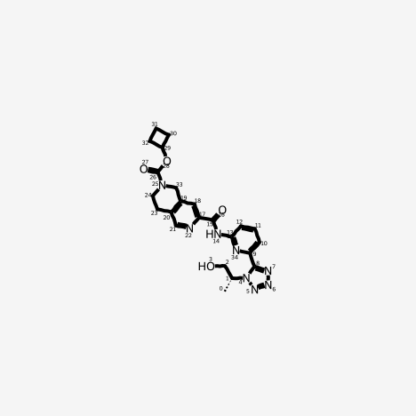 C[C@H](CO)n1nnnc1-c1cccc(NC(=O)c2cc3c(cn2)CCN(C(=O)OC2CCC2)C3)n1